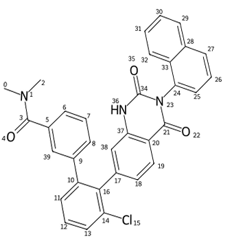 CN(C)C(=O)c1cccc(-c2cccc(Cl)c2-c2ccc3c(=O)n(-c4cccc5ccccc45)c(=O)[nH]c3c2)c1